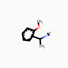 [C-]#[N+]C(C)c1ccccc1OC